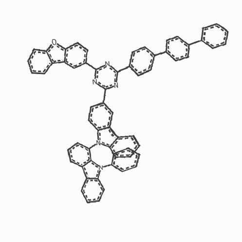 c1ccc(-c2ccc(-c3ccc(-c4nc(-c5ccc6oc7ccccc7c6c5)nc(-c5ccc6c(c5)c5ccccc5n6-c5cccc6c7ccccc7n(-c7ccccc7)c56)n4)cc3)cc2)cc1